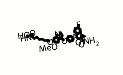 COc1cc2c(Oc3ccc(N(C(=O)C4(C(N)=O)CC4)c4ccc(F)cc4)cc3)ccnc2cc1OCCCCCCC(=O)NO